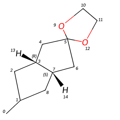 CC1C[C@@H]2CC3(C[C@@H]2C1)OCCO3